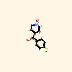 O=C(c1ccc(F)cc1)c1cc[n+]([O-])cc1